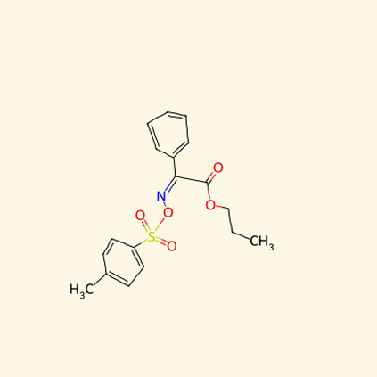 CCCOC(=O)C(=NOS(=O)(=O)c1ccc(C)cc1)c1ccccc1